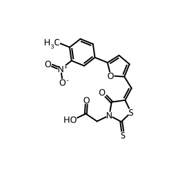 Cc1ccc(-c2ccc(C=C3SC(=S)N(CC(=O)O)C3=O)o2)cc1[N+](=O)[O-]